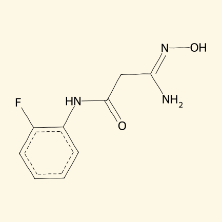 N/C(CC(=O)Nc1ccccc1F)=N\O